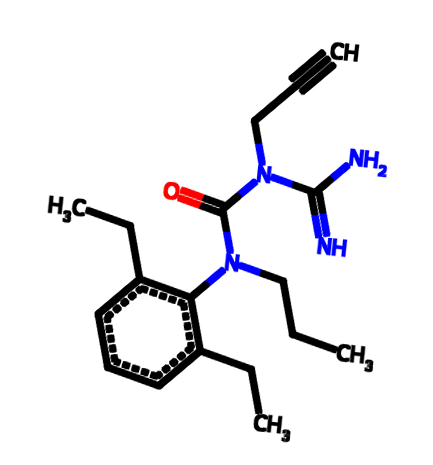 C#CCN(C(=N)N)C(=O)N(CCC)c1c(CC)cccc1CC